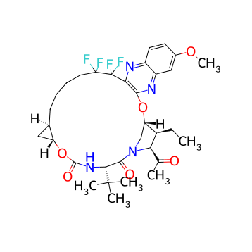 CC[C@@H]1[C@@H]2CN(C(=O)[C@H](C(C)(C)C)NC(=O)O[C@@H]3C[C@H]3CCCCC(F)(F)C(F)(F)c3nc4ccc(OC)cc4nc3O2)[C@@H]1C(C)=O